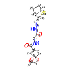 O=C(CNC(=O)c1ccc2c(c1)OCCO2)N/N=C/c1csc2ccccc12